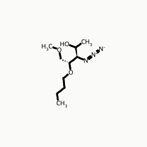 CCCCO[C@H](COC)[C@H](N=[N+]=[N-])C(C)O